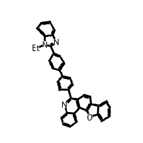 CCn1c(-c2ccc(-c3ccc(-c4nc5ccccc5c5c4ccc4c6ccccc6oc45)cc3)cc2)nc2ccccc21